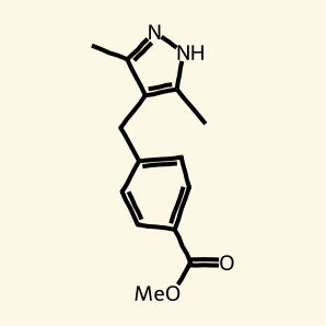 COC(=O)c1ccc(Cc2c(C)n[nH]c2C)cc1